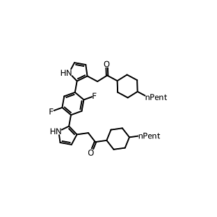 CCCCCC1CCC(C(=O)Cc2cc[nH]c2-c2cc(F)c(-c3[nH]ccc3CC(=O)C3CCC(CCCCC)CC3)cc2F)CC1